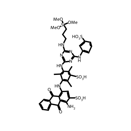 CO[Si](CCCNc1nc(Nc2cccc(S(=O)(=O)O)c2)nc(Nc2c(C)c(Nc3cc(S(=O)(=O)O)c(N)c4c3C(=O)c3ccccc3C4=O)c(C)c(S(=O)(=O)O)c2C)n1)(OC)OC